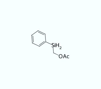 CC(=O)OC[SiH2]c1ccccc1